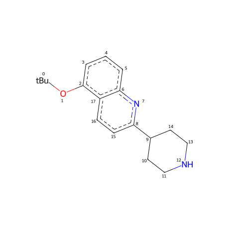 CC(C)(C)Oc1cccc2nc(C3CCNCC3)ccc12